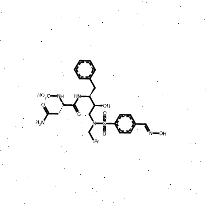 CC(C)CN(C[C@H](O)[C@H](Cc1ccccc1)NC(=O)[C@H](CC(N)=O)NC(=O)O)S(=O)(=O)c1ccc(C=NO)cc1